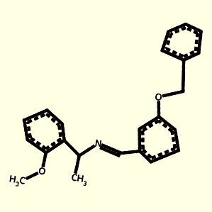 COc1ccccc1C(C)/N=C/c1cccc(OCc2ccccc2)c1